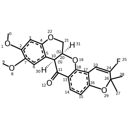 COc1cc2c(cc1OC)[C@@H]1C(=O)c3ccc4c(c3O[C@@H]1CO2)C=C(F)C(C)(C)O4